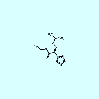 CCOC(=O)/C(=N\OC(C)C)n1cncn1